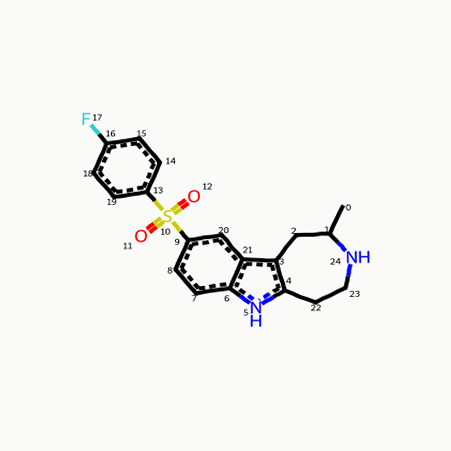 CC1Cc2c([nH]c3ccc(S(=O)(=O)c4ccc(F)cc4)cc23)CCN1